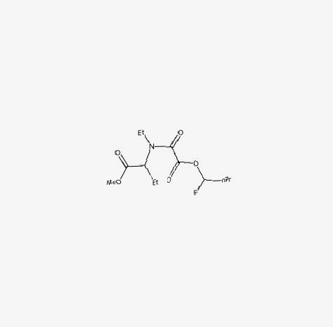 CCCC(F)OC(=O)C(=O)N(CC)C(CC)C(=O)OC